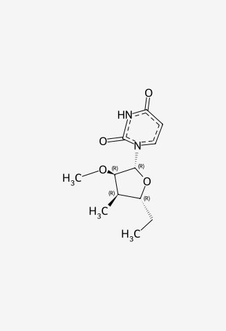 CC[C@H]1O[C@@H](n2ccc(=O)[nH]c2=O)[C@H](OC)[C@@H]1C